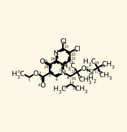 CCOC(=O)c1cn([C@@H](C(C)C)C(C)(C)O[SiH2]C(C)(C)C)c2cc(Cl)c(Cl)nc2c1=O